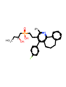 CC(C)c1nc2c(c(-c3ccc(F)cc3)c1CCP(=O)(O)C[C@@H](O)CC(=O)O)CCCc1ccccc1-2